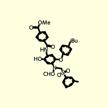 CCC(C)c1ccc(Oc2cc(NC(=O)c3ccc(C(=O)OC)cc3)c(O)cc2N(C=O)CS(=O)(=O)c2cccc(C)c2)cc1